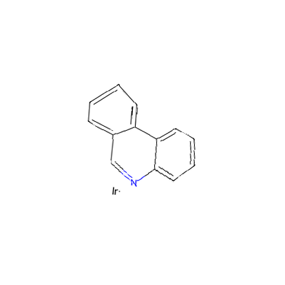 [Ir].c1ccc2c(c1)cnc1ccccc12